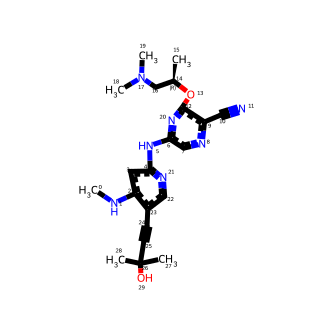 CNc1cc(Nc2cnc(C#N)c(O[C@H](C)CN(C)C)n2)ncc1C#CC(C)(C)O